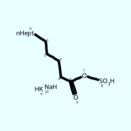 CCCCCCCCCCCC(=O)OS(=O)(=O)O.[KH].[NaH]